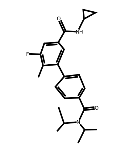 Cc1c(F)cc(C(=O)NC2CC2)cc1-c1ccc(C(=O)N(C(C)C)C(C)C)cc1